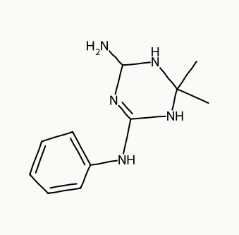 CC1(C)NC(Nc2ccccc2)=NC(N)N1